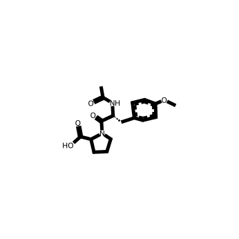 COc1ccc(C[C@@H](NC(C)=O)C(=O)N2CCCC2C(=O)O)cc1